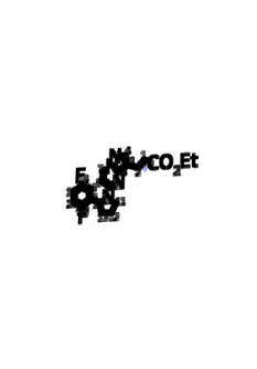 CCOC(=O)/C=C/c1cnn2ccc(N3CCCC3c3cc(F)ccc3F)nc12